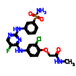 CNC(=O)COc1ccc(Nc2nc(Nc3cccc(S(N)(=O)=O)c3)ncc2F)cc1Cl